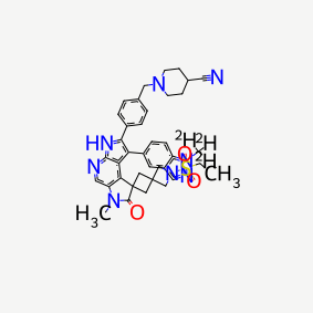 [2H]C([2H])([2H])n1ncc2cc(-c3c(-c4ccc(CN5CCC(C#N)CC5)cc4)[nH]c4ncc5c(c34)C3(CC4(CN(S(=O)(=O)CC)C4)C3)C(=O)N5C)ccc21